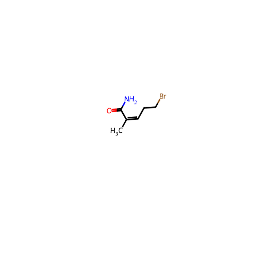 CC(=CCCBr)C(N)=O